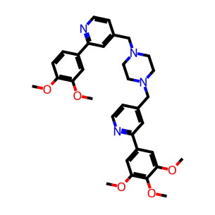 COc1ccc(-c2cc(CN3CCN(Cc4ccnc(-c5cc(OC)c(OC)c(OC)c5)c4)CC3)ccn2)cc1OC